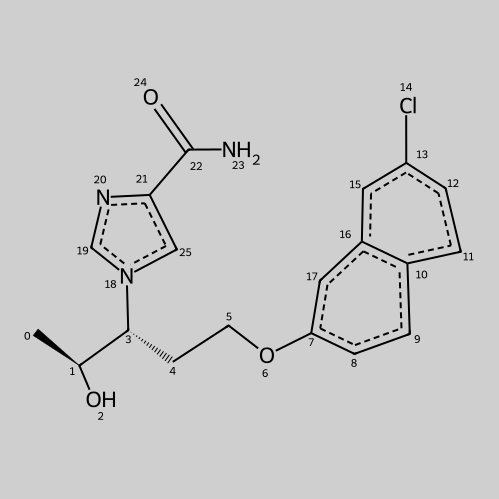 C[C@H](O)[C@@H](CCOc1ccc2ccc(Cl)cc2c1)n1cnc(C(N)=O)c1